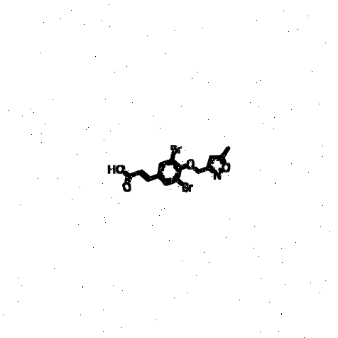 Cc1cc(COc2c(Br)cc(/C=C/C(=O)O)cc2Br)no1